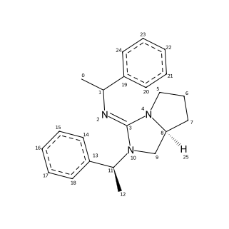 CC(/N=C1\N2CCC[C@H]2CN1[C@@H](C)c1ccccc1)c1ccccc1